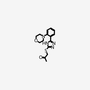 CC(=O)CSc1nnc(-c2ccccc2N2CCOCC2)[nH]1